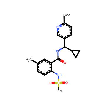 CCCCS(=O)(=O)Nc1ccc(C)cc1C(=O)NC(c1ccc(OC)nc1)C1CC1